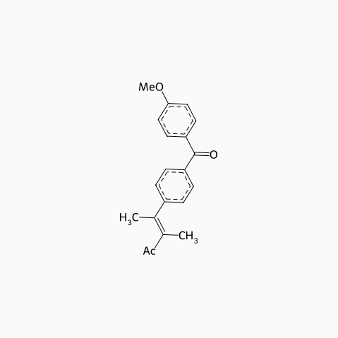 COc1ccc(C(=O)c2ccc(/C(C)=C(\C)C(C)=O)cc2)cc1